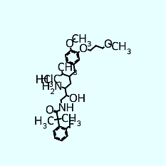 COCCCOc1cc(CC(CC(N)C(O)CNC(=O)C(C)(C)c2ccccc2F)C(C)C)ccc1OC.Cl